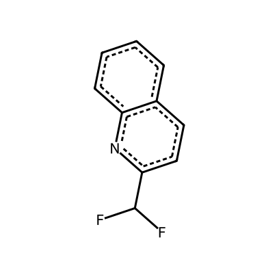 FC(F)c1ccc2ccccc2n1